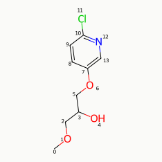 COCC(O)COc1ccc(Cl)nc1